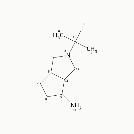 CC(C)(I)N1CC2CCC(N)C2C1